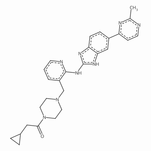 Cc1nccc(-c2ccc3nc(Nc4ncccc4CN4CCN(C(=O)CC5CC5)CC4)[nH]c3c2)n1